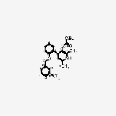 CC1=CC(c2ccccc2OCc2cccc(C(F)(F)F)c2)C(OC(=O)OCC(C)C)=C(C)N1